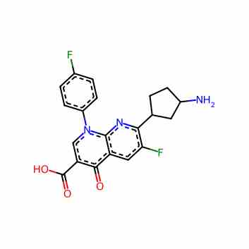 NC1CCC(c2nc3c(cc2F)c(=O)c(C(=O)O)cn3-c2ccc(F)cc2)C1